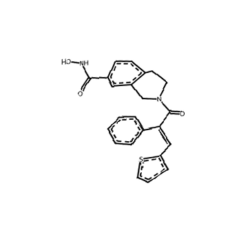 O=C(NO)c1ccc2c(c1)CN(C(=O)C(=Cc1cccs1)c1ccccc1)CC2